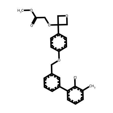 COC(=O)COC1(c2ccc(OCc3cccc(-c4cccc(C)c4Cl)c3)cc2)COC1